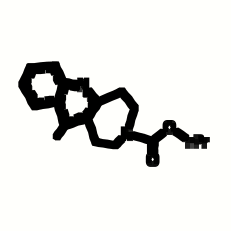 CCCOC(=O)N1CCc2nc3ccccc3c(C)c2CC1